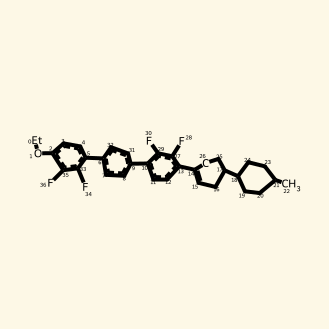 CCOc1ccc(-c2ccc(-c3ccc(C4=CCC(C5CCC(C)CC5)CC4)c(F)c3F)cc2)c(F)c1F